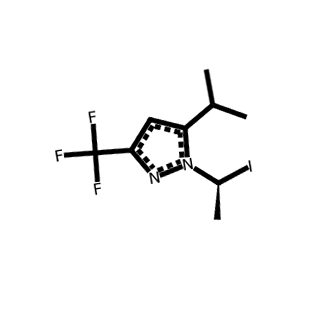 CC(C)c1cc(C(F)(F)F)nn1[C@H](C)I